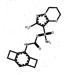 Cc1nn2c(c1S(N)(=O)=NC(=O)Nc1c3c(cc4c1CC4)CC3)OCCC2